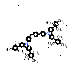 Cc1cc(C)c(-c2ccc3c(c2)c2cc(-c4c(C)cc(C)cc4C)ccc2n3-c2ccc(Cc3ccc(-c4ccc(-n5c6ccc(-c7c(C)cc(C)cc7C)cc6c6cc(-c7c(C)cc(C)cc7C)ccc65)cc4)cc3)cc2)c(C)c1